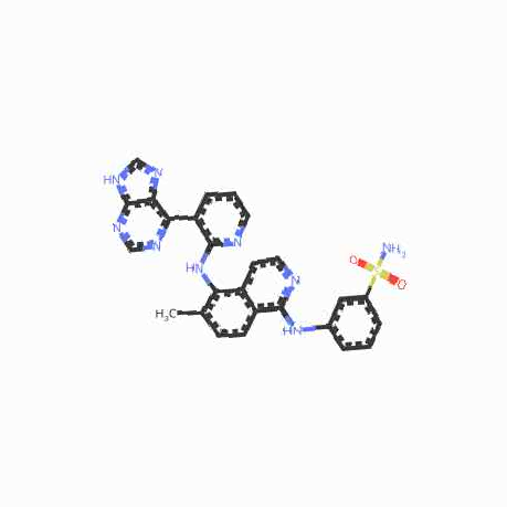 Cc1ccc2c(Nc3cccc(S(N)(=O)=O)c3)nccc2c1Nc1ncccc1-c1ncnc2[nH]cnc12